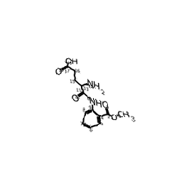 COC(=O)c1ccccc1NC(=O)C(N)CCC(=O)O